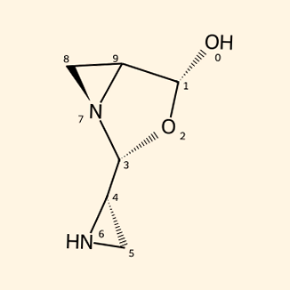 O[C@@H]1O[C@H]([C@@H]2CN2)[N@@]2CC12